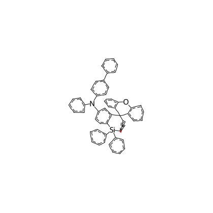 c1ccc(-c2ccc(N(c3ccccc3)c3ccc4c(c3)C3(c5ccccc5Oc5ccccc53)c3ccccc3[Si]4(c3ccccc3)c3ccccc3)cc2)cc1